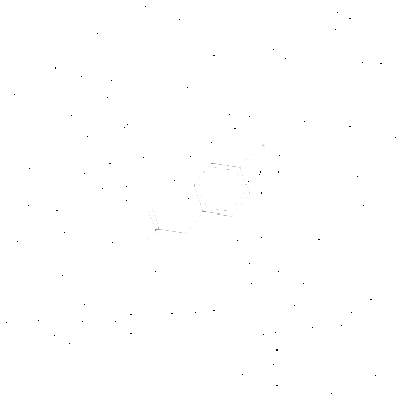 O=C(O)Cc1ccc(O)cc1.[Cd]